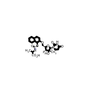 CC(/N=[P+](\[O-])Oc1c(OC[C@H]2O[C@@H](n3ccc(=O)[nH]c3=O)[C@](C)(O)[C@@H]2F)ccc2ccccc12)C(=O)O